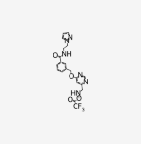 O=C(NCCn1cccn1)c1cccc(COc2cc(CNOC(=O)C(F)(F)F)ncn2)c1